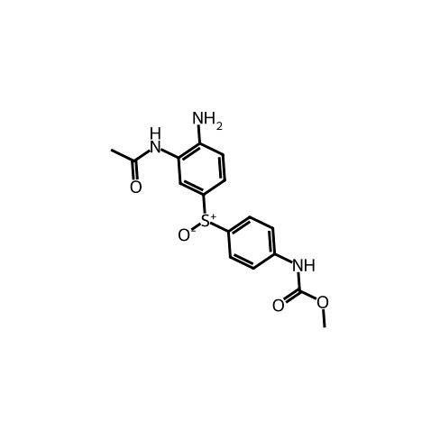 COC(=O)Nc1ccc([S+]([O-])c2ccc(N)c(NC(C)=O)c2)cc1